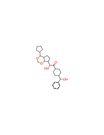 O=C(C1CCC(C(O)c2ccccc2)CC1)C(O)C1CCC2C(C3CCCC3)OCOC12